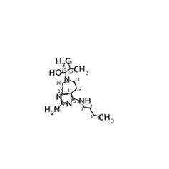 CCCCNc1nc(N)nc2c1CCN(C(O)C(C)C)C2